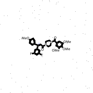 COc1ccc(/C(=C/C(=O)N2CCN(C(=O)c3cc(OC)c(OC)c(OC)c3)CC2)c2cc(F)cc(F)c2)cc1